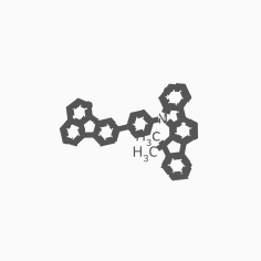 CC1(C)c2ccccc2-c2ccc3c4ccccc4n(-c4ccc(-c5ccc6c(c5)-c5cccc7cccc-6c57)cc4)c3c21